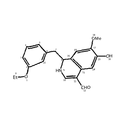 CCOc1cccc(CC2NC=C(C=O)c3cc(O)c(OC)cc32)c1